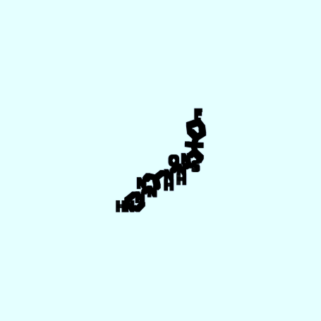 CC(C)(c1ccc(F)cc1)c1csc(NC(=O)NCc2cnc(N3CCNCC3)nc2)n1